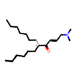 CCCCCCC[C@@H](CCCCCC)C(=O)/C=C/CN(C)C